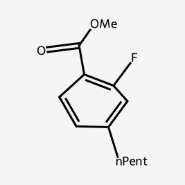 CCCCCc1ccc(C(=O)OC)c(F)c1